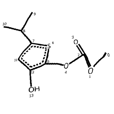 COC(=O)Oc1sc(C(C)C)cc1O